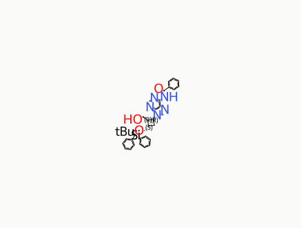 CC(C)(C)[Si](OC[C@H]1C[C@@H](n2cnc3c(NC(=O)c4ccccc4)ncnc32)[C@@H]1CO)(c1ccccc1)c1ccccc1